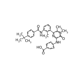 Cc1c(NC(=O)c2ccc(C(C)(C)C)cc2)cccc1-c1nc(Nc2ccc(C(=O)O)cc2)c(=O)n(C)c1C